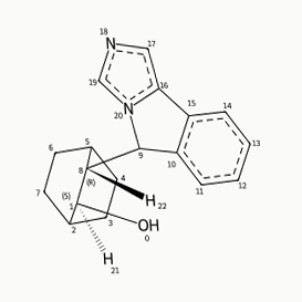 O[C@H]1C2CCC(CC2)[C@@H]1C1c2ccccc2-c2cncn21